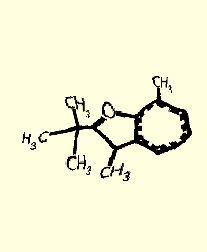 Cc1cccc2c1OC(C(C)(C)C)C2C